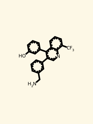 NCc1cccc(-c2cnc3c(C(F)(F)F)cccc3c2-c2cccc(O)c2)c1